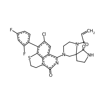 C=CC(=O)N1CCN(c2nc(=O)n3c4c(c(-c5ccc(F)cc5F)c(Cl)cc24)SCC3)CC12CCNC2=O